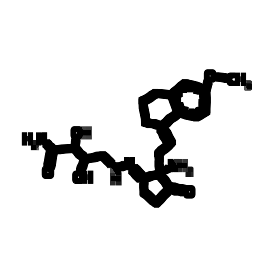 COc1ccc2c(c1)CCC/C2=C\C[C@]1(N)C(=O)CC/C1=N\NCC(O)C(O)C(N)=O